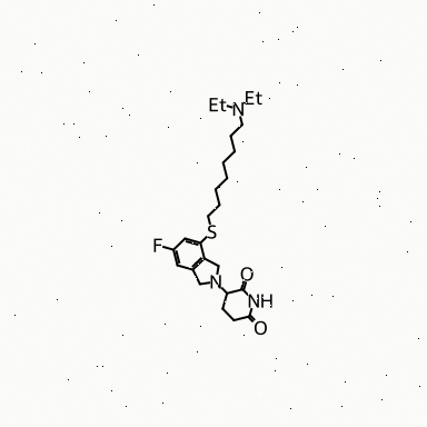 CCN(CC)CCCCCCCCSc1cc(F)cc2c1CN(C1CCC(=O)NC1=O)C2